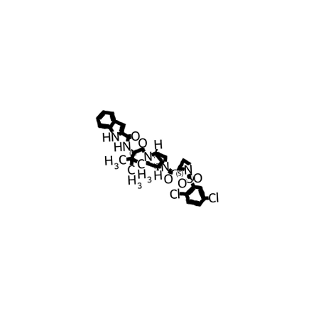 CC(C)(C)[C@H](NC(=O)c1cc2ccccc2[nH]1)C(=O)N1C[C@@H]2C[C@H]1CN2C(=O)[C@@H]1CCN1S(=O)(=O)c1cc(Cl)ccc1Cl